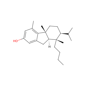 CCCC[C@]1(C)[C@H]2Cc3cc(O)cc(C)c3[C@]2(C)CC[C@H]1C(C)C